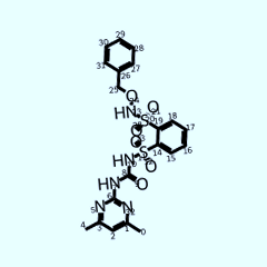 Cc1cc(C)nc(NC(=O)NS(=O)(=O)c2ccccc2S(=O)(=O)NOCc2ccccc2)n1